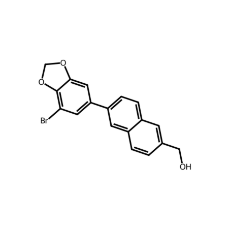 OCc1ccc2cc(-c3cc(Br)c4c(c3)OCO4)ccc2c1